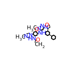 C=CC(=O)Nc1cc(Nc2cc(N3OCCC3c3cccc(-c4ccccc4)c3)ncn2)c(OC)cc1N1CCN(C)CC1